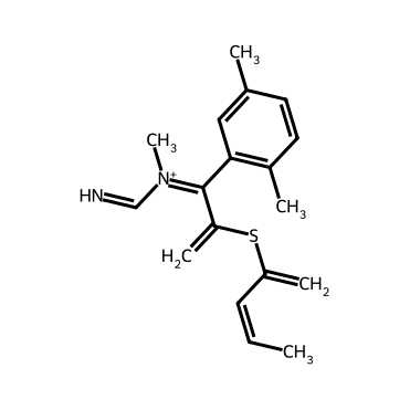 C=C(/C=C\C)SC(=C)/C(c1cc(C)ccc1C)=[N+](/C)C=N